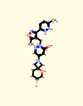 Cc1ccc(-c2noc(C)c2Cn2ncc(N3CC4(CC[C@H](F)CO4)C3)cc2=O)nn1